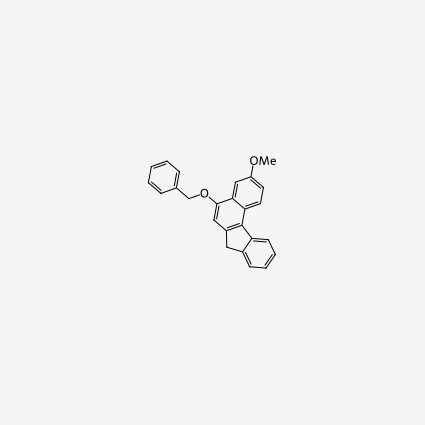 COc1ccc2c3c(cc(OCc4ccccc4)c2c1)Cc1ccccc1-3